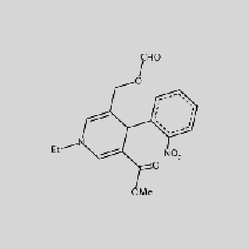 CCN1C=C(COC=O)C(c2ccccc2[N+](=O)[O-])C(C(=O)OC)=C1